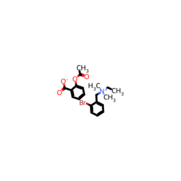 CC(=O)Oc1ccccc1C(=O)[O-].CC[N+](C)(C)Cc1ccccc1Br